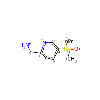 CCC[SH](C)(=O)c1ccc(CN)nc1